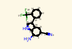 N#Cc1cc(N)c2[nH]cc(-c3ccccc3C(F)(F)F)c2c1